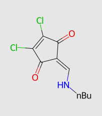 CCCCNC=C1C(=O)C(Cl)=C(Cl)C1=O